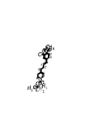 CC(C)(C)OC(=O)N1CCC(CC/C=C/c2ccc(S(C)(=O)=O)c(Cl)c2)CC1